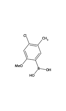 COc1cc(Cl)c(C)cc1B(O)O